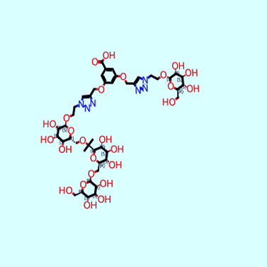 CC(C)(OC[C@H]1O[C@H](OCCn2cc(COc3cc(OCc4cn(CCO[C@H]5O[C@H](CO)[C@@H](O)[C@H](O)[C@H]5O)nn4)cc(C(=O)O)c3)nn2)[C@H](O)[C@@H](O)[C@@H]1O)[C@@H]1O[C@H](CO[C@@H]2O[C@H](CO)[C@@H](O)[C@H](O)[C@H]2O)[C@@H](O)[C@H](O)[C@H]1O